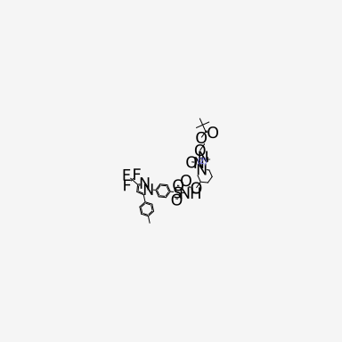 Cc1ccc(-c2cc(C(F)(F)F)nn2-c2ccc(S(=O)(=O)NC(=O)OC3CCCN(/[N+]([O-])=N/OCOC(=O)C(C)(C)C)C3)cc2)cc1